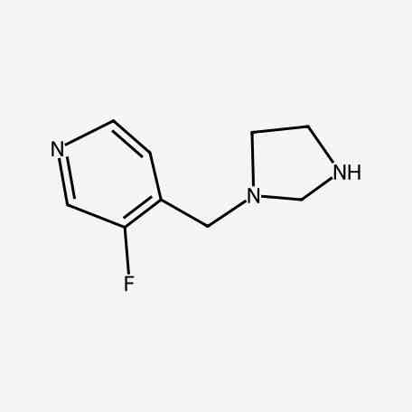 Fc1cnccc1CN1CCNC1